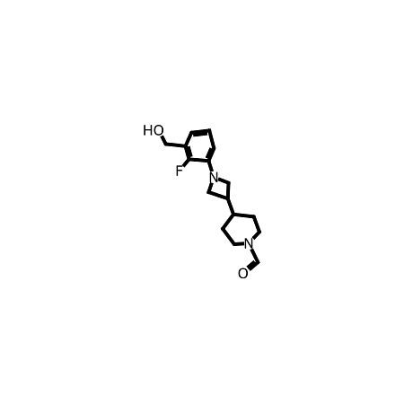 O=CN1CCC(C2CN(c3cccc(CO)c3F)C2)CC1